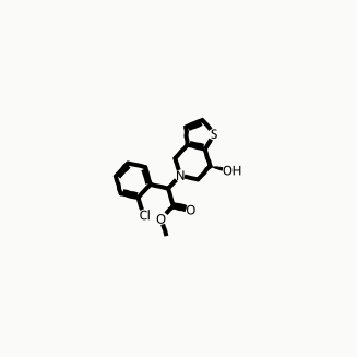 COC(=O)C(c1ccccc1Cl)N1Cc2ccsc2[C@@H](O)C1